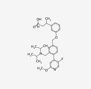 COc1cc(-c2ccc(COc3cccc(C(C)C[PH](=O)O)c3)cc2CN(C(C)C)C(C)C)c(F)cn1